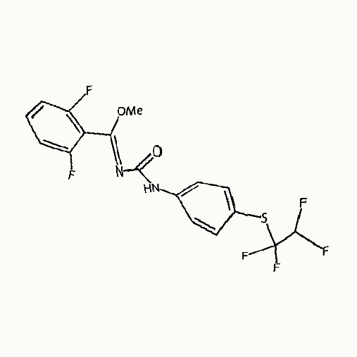 COC(=NC(=O)Nc1ccc(SC(F)(F)C(F)F)cc1)c1c(F)cccc1F